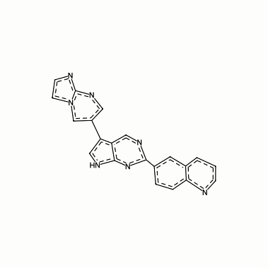 c1cnc2ccc(-c3ncc4c(-c5cnc6nccn6c5)c[nH]c4n3)cc2c1